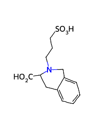 O=C(O)C1Cc2ccccc2CN1CCCS(=O)(=O)O